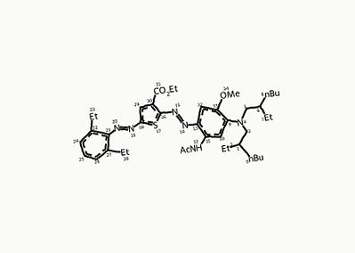 CCCCC(CC)CN(CC(CC)CCCC)c1cc(NC(C)=O)c(N=Nc2sc(N=Nc3c(CC)cccc3CC)cc2C(=O)OCC)cc1OC